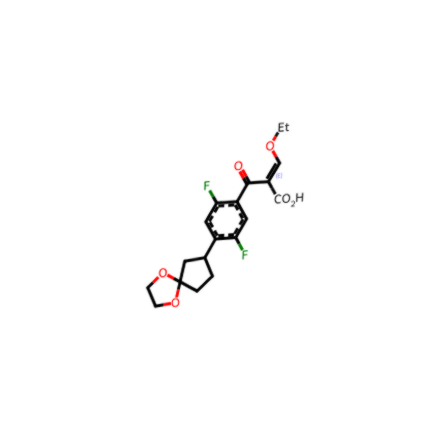 CCO/C=C(/C(=O)O)C(=O)c1cc(F)c(C2CCC3(C2)OCCO3)cc1F